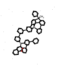 CC1(c2ccccc2)c2cccc3c2-c2c1ccc1c4cc(-c5cccc(-c6cccc(N(c7ccc8ccccc8c7)c7ccc(-c8ccccc8)cc7-c7ccccc7)c6)c5)ccc4n(c21)-c1ccccc1-3